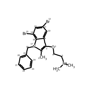 Cc1c(OCCN(C)C)c2cc(Br)cc(Br)c2n1Cc1ccccc1